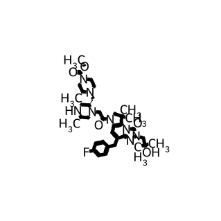 COC(=O)N1CCN(C[C@H]2CN[C@H](C)CN2CC(=O)N2CC(C)(C)c3c2cc(Cc2ccc(F)cc2)c2nn(CC(C)(C)O)c(=O)n32)[C@H](C)C1